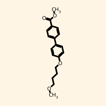 COCCCCOc1ccc(-c2ccc(C(=O)OC)cc2)cc1